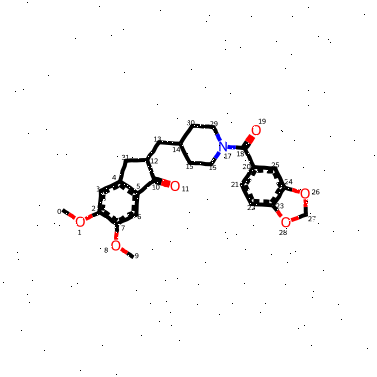 COc1cc2c(cc1OC)C(=O)C(CC1CCN(C(=O)c3ccc4c(c3)OCO4)CC1)C2